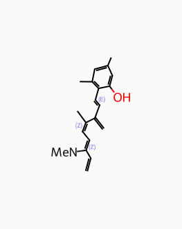 C=C/C(=C/C=C(/C)C(=C)/C=C/c1c(C)cc(C)cc1O)NC